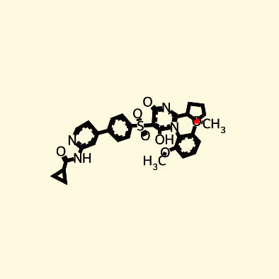 COc1cccc(OC)c1-n1c(C2CCCC2)nc(=O)c(S(=O)(=O)c2ccc(-c3ccnc(NC(=O)C4CC4)c3)cc2)c1O